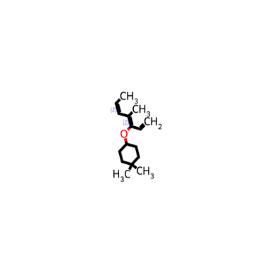 C=C/C(OC1CCC(C)(C)CC1)=C(C)/C=C\C